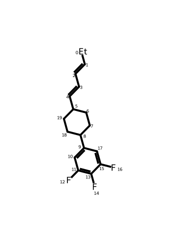 CCC=CC=CC1CCC(c2cc(F)c(F)c(F)c2)CC1